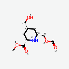 COC(=O)[C@@H]1C[C@H](CO)C[C@H](COC=O)N1